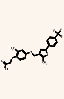 Cc1cc(OCc2cc(-c3ccc(C(F)(F)F)cc3)sc2C)ccc1OCC(=O)O